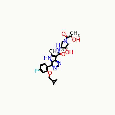 Cc1[nH]c2c(-c3ccc(F)cc3OCC3CC3)ncnc2c1C(=O)N[C@H]1CN(C(=O)[C@H](C)O)C[C@H]1O